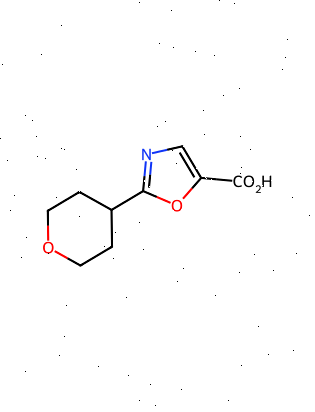 O=C(O)c1cnc(C2CCOCC2)o1